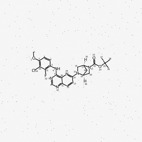 COc1ccc(Nc2ncnc3ccc(N4C[C@@H]5C[C@H]4CN5C(=O)OC(C)(C)C)nc23)c(F)c1Cl